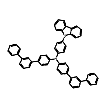 c1ccc(-c2cccc(-c3ccc(N(c4ccc(-c5cccc(-c6ccccc6)c5)cc4)c4ccc(-n5c6ccccc6c6ccccc65)cc4)cc3)c2)cc1